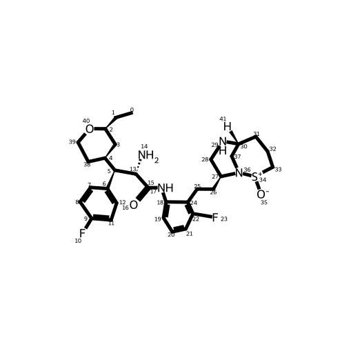 CC[C@H]1C[C@@H]([C@H](c2ccc(F)cc2)[C@H](N)C(=O)Nc2cccc(F)c2CC[C@H]2CN[C@@H]3CCC[S+]([O-])N2C3)CCO1